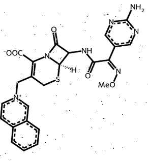 CO/N=C(\C(=O)NC1C(=O)N2C(C(=O)[O-])=C(C[n+]3ccc4ccccc4c3)CS[C@H]12)c1cnc(N)nc1